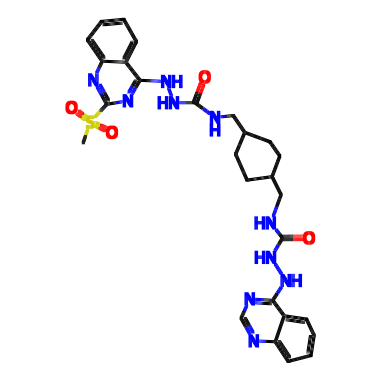 CS(=O)(=O)c1nc(NNC(=O)NCC2CCC(CNC(=O)NNc3ncnc4ccccc34)CC2)c2ccccc2n1